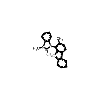 Cc1ccc2c(oc3ccccc32)c1N1c2ccccc2N(C)[C@@H]1C